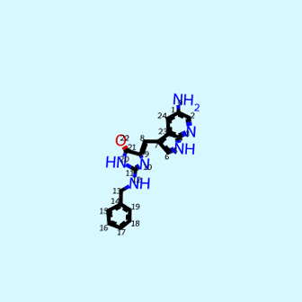 Nc1cnc2[nH]cc(C=C3N=C(NCc4ccccc4)NC3=O)c2c1